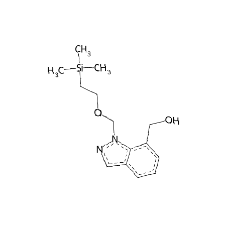 C[Si](C)(C)CCOCn1ncc2cccc(CO)c21